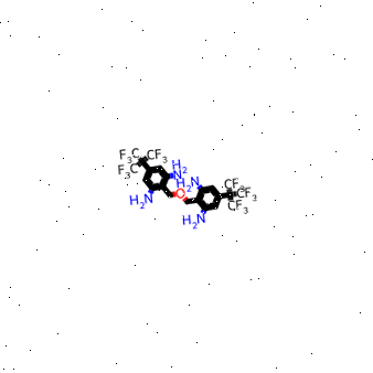 Nc1cc(C(C(F)(F)F)(C(F)(F)F)C(F)(F)F)cc(N)c1COCc1c(N)cc(C(C(F)(F)F)(C(F)(F)F)C(F)(F)F)cc1N